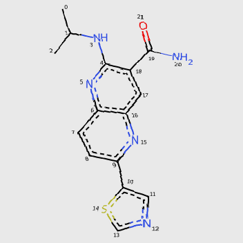 CC(C)Nc1nc2ccc(-c3cncs3)nc2cc1C(N)=O